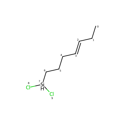 CCC=CCCC[SiH](Cl)Cl